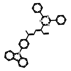 C=C/C(=C\C=C(/C)c1ccc(-n2c3ccccc3c3ccccc32)cc1)c1nc(-c2ccccc2)nc(-c2ccccc2)n1